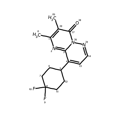 Cc1nc2c(C3CCC(F)(F)CC3)ccnn2c(=O)c1C